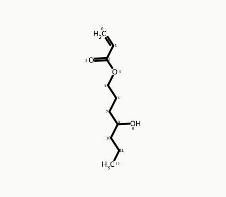 C=CC(=O)OCCCC(O)CCC